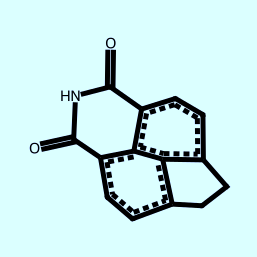 O=C1NC(=O)c2ccc3c4c(ccc1c24)CC3